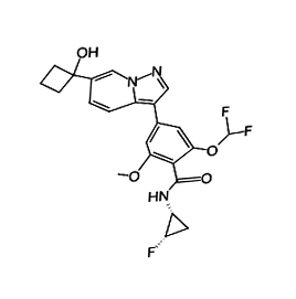 COc1cc(-c2cnn3cc(C4(O)CCC4)ccc23)cc(OC(F)F)c1C(=O)N[C@@H]1C[C@@H]1F